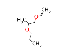 C=CCO[C](C)COC=C